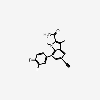 C#Cc1cc(-c2ccc(F)c(F)c2)c2c(c1)c(C)c(C(N)=O)n2C